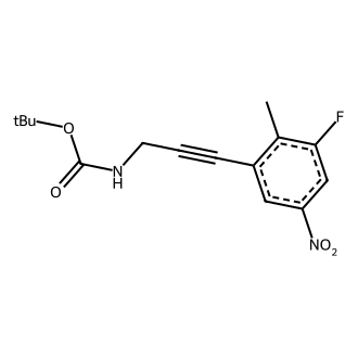 Cc1c(F)cc([N+](=O)[O-])cc1C#CCNC(=O)OC(C)(C)C